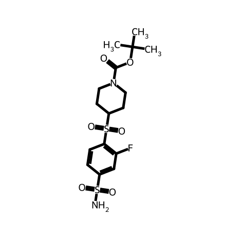 CC(C)(C)OC(=O)N1CCC(S(=O)(=O)c2ccc(S(N)(=O)=O)cc2F)CC1